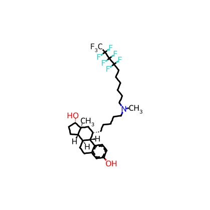 CN(CCCCCCC(F)(F)C(F)(F)C(F)(F)C(F)(F)F)CCCCC[C@H]1C[C@]2(C)[C@@H](O)CC[C@H]2[C@@H]2CCc3cc(O)ccc3[C@@H]12